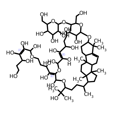 CC(CCC(OC(O)/C(OC(O)/C(O)=C(\O)C(O)CCO)=C(\O)C(O)CCOC(O)/C(O)=C(/O)C(O)CCO)C(C)(C)O)C1CCC2(C)C3CC=C4C(CCC(OC5OC(CO)C(OC6OC(CO)C(O)C(O)C6O)C(O)C5O)C4(C)C)C3(C)CCC12C